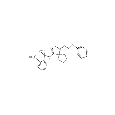 CN(CCOc1ccccc1)C1(C(=O)NC2(c3ccccc3C(=O)O)CC2)CCOC1